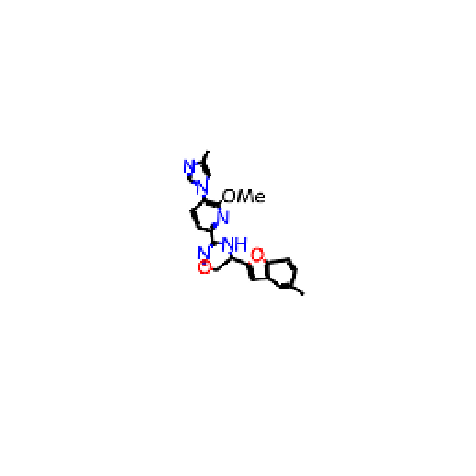 COc1nc(C2=NOCC(c3cc4cc(C)ccc4o3)N2)ccc1-n1cnc(C)c1